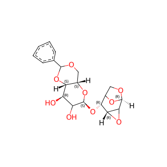 OC1[C@H](O[C@@H]2C3CO[C@H](O3)C3O[C@@H]32)O[C@H]2COC(c3ccccc3)O[C@H]2[C@@H]1O